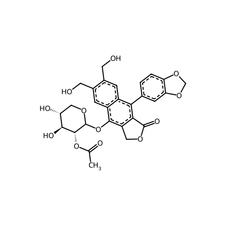 CC(=O)O[C@H]1C(Oc2c3c(c(-c4ccc5c(c4)OCO5)c4cc(CO)c(CO)cc24)C(=O)OC3)OC[C@@H](O)[C@@H]1O